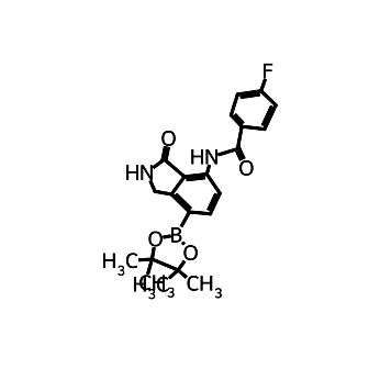 CC1(C)OB(c2ccc(NC(=O)c3ccc(F)cc3)c3c2CNC3=O)OC1(C)C